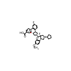 CC[C@H]1CN(C(=O)[C@]2(F)CN(C3CCCC3)C[C@H]2c2ccc(OC)cc2)C[C@@H]1c1ccc(F)cc1N1CCC(C(=O)O)CC1